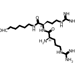 N=C(N)NCCC[C@@H](N)C(=O)N[C@H](CCCNC(=N)N)C(=O)NCCCCC[C]=O